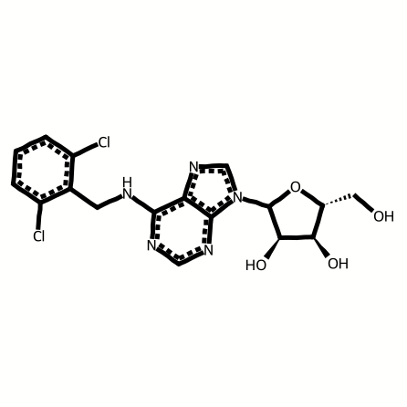 OC[C@H]1OC(n2cnc3c(NCc4c(Cl)cccc4Cl)ncnc32)[C@H](O)[C@@H]1O